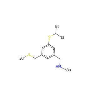 CCCCNCc1cc(CSC(C)CC)cc(SC(CC)CC)c1